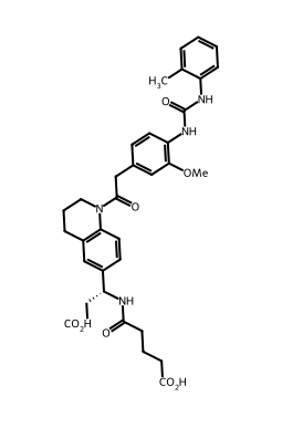 COc1cc(CC(=O)N2CCCc3cc([C@@H](CC(=O)O)NC(=O)CCCC(=O)O)ccc32)ccc1NC(=O)Nc1ccccc1C